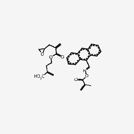 C=C(C)C(=O)ON=Cc1c2ccccc2cc2ccccc12.C=C(CCOC(=O)C(=C)CC1CO1)C(=O)O